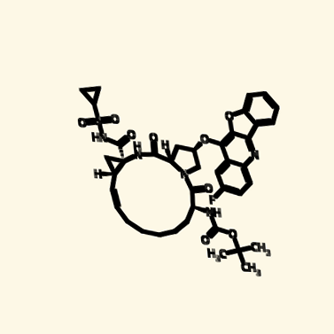 CC(C)(C)OC(=O)N[C@H]1CCCCC/C=C\[C@@H]2C[C@@]2(C(=O)NS(=O)(=O)C2CC2)NC(=O)[C@@H]2C[C@@H](Oc3c4cc(F)ccc4nc4c3oc3ccccc34)CN2C1=O